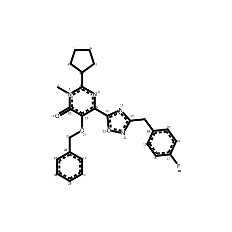 Cn1c(C2CCCC2)nc(-c2nc(Cc3ccc(F)cc3)no2)c(OCc2ccccc2)c1=O